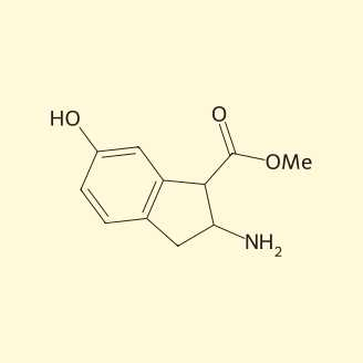 COC(=O)C1c2cc(O)ccc2CC1N